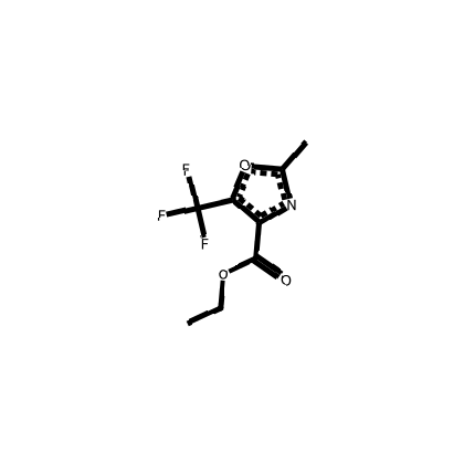 CCOC(=O)c1nc(C)oc1C(F)(F)F